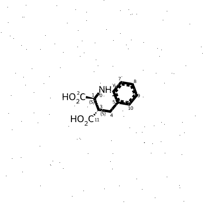 N[C@H](C(=O)O)[C@H](Cc1ccccc1)C(=O)O